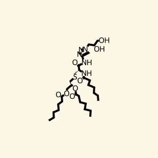 CCCCCCC(=O)N[C@H](CSC[C@@H](COC(=O)CCCCCC)OC(=O)CCCCCC)C(=O)Nc1cn(C[C@@H](O)CO)nn1